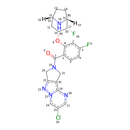 O=C(c1ccc(F)cc1O[C@@H]1C[C@@H]2CC[C@@H](N2)[C@@H]1F)N1Cc2nn3cc(Cl)cnc3c2C1